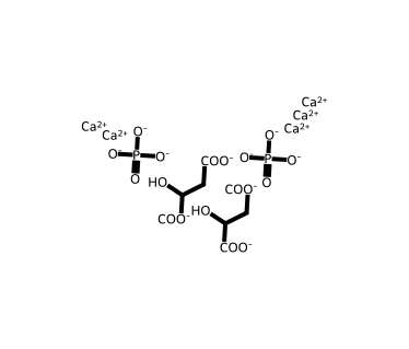 O=C([O-])CC(O)C(=O)[O-].O=C([O-])CC(O)C(=O)[O-].O=P([O-])([O-])[O-].O=P([O-])([O-])[O-].[Ca+2].[Ca+2].[Ca+2].[Ca+2].[Ca+2]